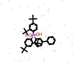 CC(C)(C)c1ccc(P(O)(O)(c2cccc(-c3ccccc3)c2)c2ccc(C(C)(C)C)cc2C(C)(C)C)c(C(C)(C)C)c1